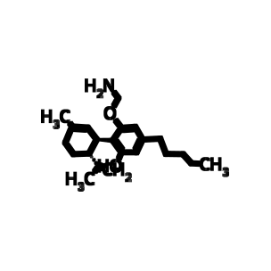 C=C(C)[C@@H]1CCC(C)=C[C@H]1c1c(O)cc(CCCCC)cc1OCN